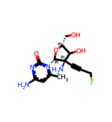 Cc1cc(N)nc(=O)n1[C@@H]1O[C@H](CO)C(O)[C@]1(N)C#CCF